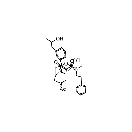 CC(=O)N1CC2CC(c3cccc(CC(C)O)c3)=C(C(=O)N(C)CCc3ccccc3)C(C1)N2C(=O)OC(C)(C)C(Cl)(Cl)Cl